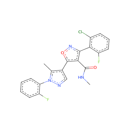 CNC(=O)c1c(-c2c(F)cccc2Cl)noc1-c1cnn(-c2ccccc2F)c1C